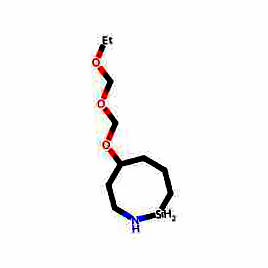 CCOCOCOC1CCC[SiH2]NCC1